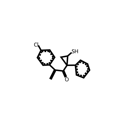 C=C(C(=O)C1(c2ccccc2)CC1S)c1ccc(Cl)cc1